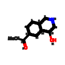 COC(=O)c1ccc2cncc(O)c2c1